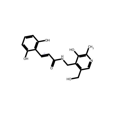 Cc1ncc(CO)c(CNC(=O)/C=C/c2c(O)cccc2O)c1O